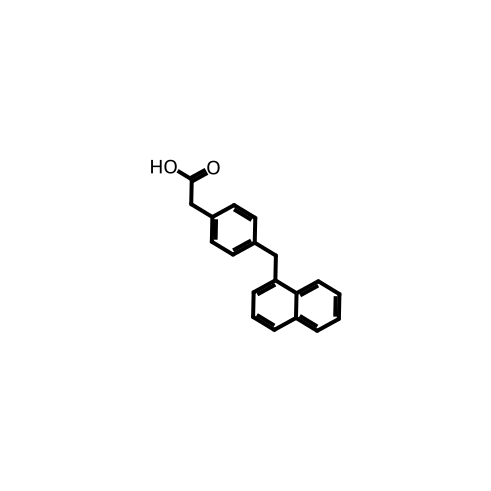 O=C(O)Cc1ccc(Cc2cccc3ccccc23)cc1